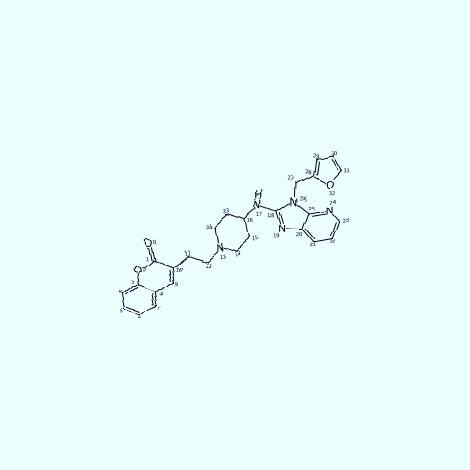 O=c1oc2ccccc2cc1CCN1CCC(Nc2nc3cccnc3n2Cc2ccco2)CC1